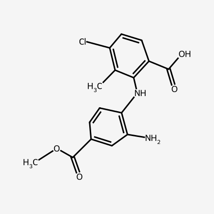 COC(=O)c1ccc(Nc2c(C(=O)O)ccc(Cl)c2C)c(N)c1